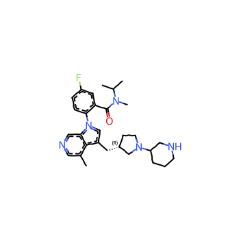 Cc1cncc2c1c(C[C@@H]1CCN(C3CCCNC3)C1)cn2-c1ccc(F)cc1C(=O)N(C)C(C)C